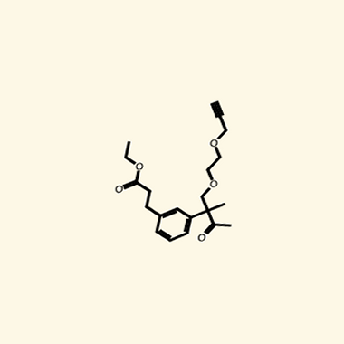 C#CCOCCOCC(C)(C(C)=O)c1cccc(CCC(=O)OCC)c1